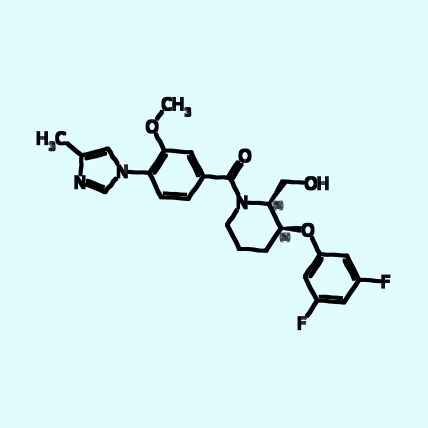 COc1cc(C(=O)N2CCC[C@H](Oc3cc(F)cc(F)c3)[C@@H]2CO)ccc1-n1cnc(C)c1